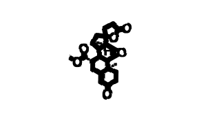 COC(=O)[C@H]1CC2=CC(=O)CC[C@]2(C)C2C1C1CCC3(CCC(=O)O3)[C@@]1(C)C1O[C@@H]12